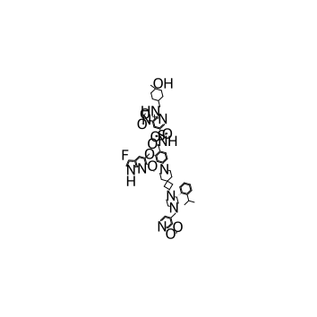 COc1nc2[nH]cc(F)c2cc1Oc1cc(N2CCC3(CC2)CC(N2CCN(Cc4ccnc5c4OCO5)C[C@H]2c2ccccc2C(C)C)C3)ccc1C(=O)NS(=O)(=O)c1cnc(NCC2CCC(C)(O)CC2)c([N+](=O)[O-])c1